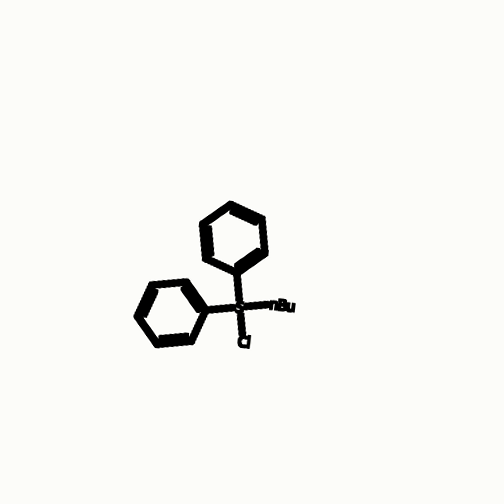 CCCCS(Cl)(c1ccccc1)c1ccccc1